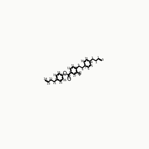 C=CCCc1ccc(CCc2ccc(C(=O)Oc3ccc(CCC=C)cc3)cc2F)cc1